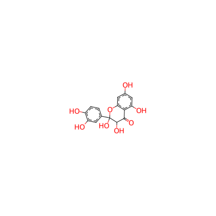 O=C1c2c(O)cc(O)cc2OC(O)(c2ccc(O)c(O)c2)C1O